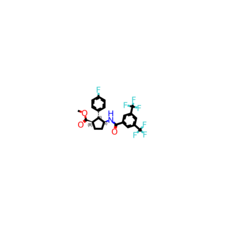 COC(=O)[C@@H]1CC[C@H](NC(=O)c2cc(C(F)(F)F)cc(C(F)(F)F)c2)[C@H]1c1ccc(F)cc1